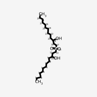 CCCCCCCCCCC(O)CCS(=O)(=O)CCC(O)CCCCCCCCCC